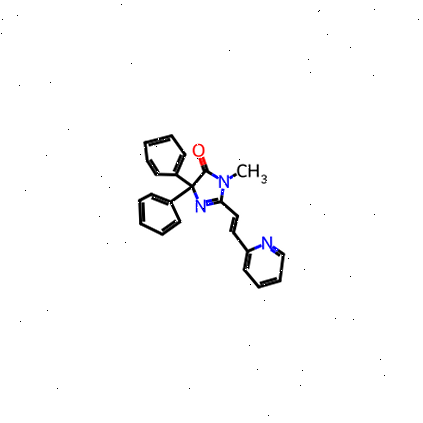 CN1C(=O)C(c2ccccc2)(c2ccccc2)N=C1C=Cc1ccccn1